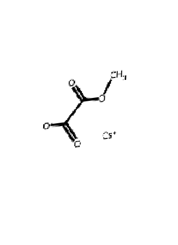 COC(=O)C(=O)[O-].[Cs+]